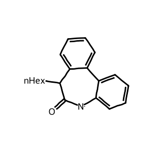 CCCCCCC1C(=O)[N]c2ccccc2-c2ccccc21